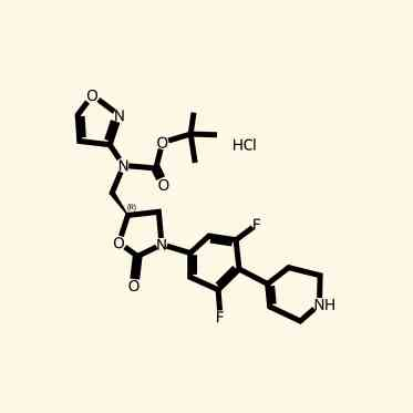 CC(C)(C)OC(=O)N(C[C@H]1CN(c2cc(F)c(C3=CCNCC3)c(F)c2)C(=O)O1)c1ccon1.Cl